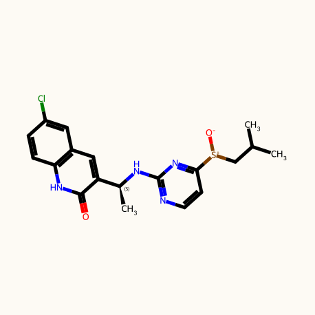 CC(C)C[S+]([O-])c1ccnc(N[C@@H](C)c2cc3cc(Cl)ccc3[nH]c2=O)n1